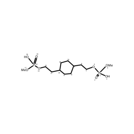 COP(=O)(O)OCCC1CCC(CCOP(=O)(O)OC)CC1